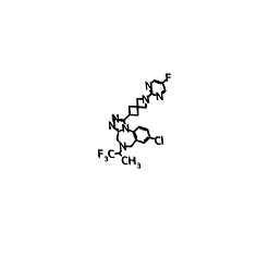 CC(N1Cc2cc(Cl)ccc2-n2c(nnc2C2CC3(C2)CN(c2ncc(F)cn2)C3)C1)C(F)(F)F